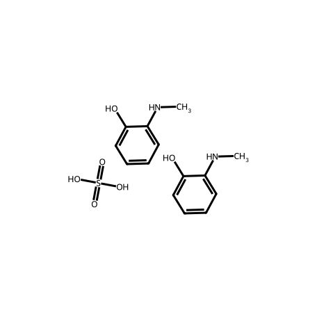 CNc1ccccc1O.CNc1ccccc1O.O=S(=O)(O)O